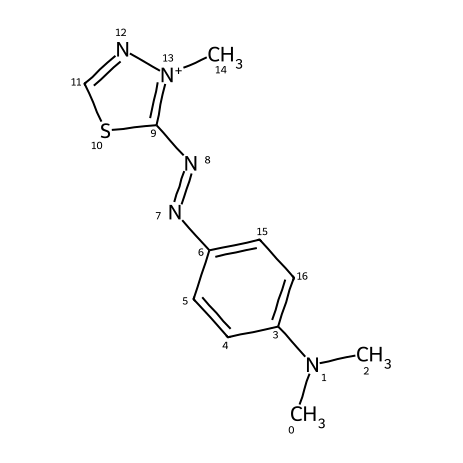 CN(C)c1ccc(N=Nc2scn[n+]2C)cc1